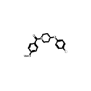 COc1ccc(C(=O)N2CCC(Oc3ccc(Cl)cc3)CC2)cc1